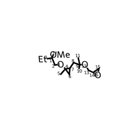 CCC(COC1(C)CC1CC(C)(C)OCC1CO1)OC